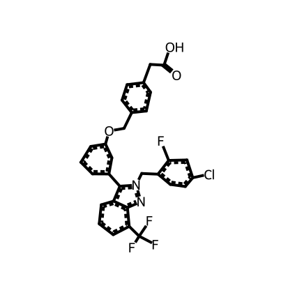 O=C(O)Cc1ccc(COc2cccc(-c3c4cccc(C(F)(F)F)c4nn3Cc3ccc(Cl)cc3F)c2)cc1